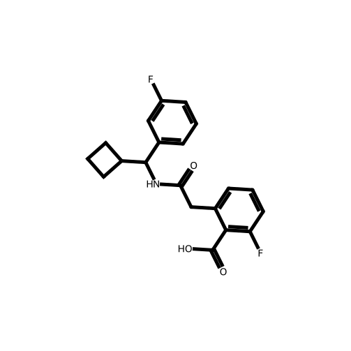 O=C(Cc1cccc(F)c1C(=O)O)NC(c1cccc(F)c1)C1CCC1